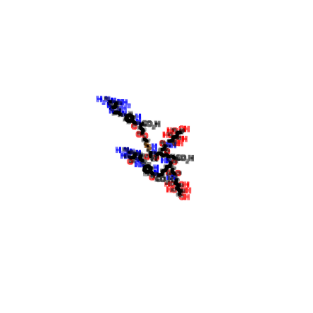 CCC(=O)[C@H](CSSCCOC(=O)CCC(NC(=O)c1ccc(NCc2cnc3nc(N)nc(N)c3n2)cc1)C(=O)O)NC(=O)[C@H](CCC(=O)NC[C@H](O)[C@@H](O)[C@H](O)[C@H](O)CO)CC(=O)[C@H](CCC(=O)O)NC(=O)[C@H](CCC(=O)NC[C@H](O)[C@@H](O)[C@H](O)[C@H](O)CO)CC(=O)CC[C@H](NC(=O)c1ccc(NCc2cnc3nc(N)[nH]c(=O)c3n2)cc1)C(=O)O